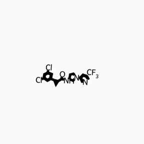 O=C(NC1CCN(c2cncc(C(F)(F)F)c2)C1)C1CC1c1cc(Cl)cc(Cl)c1